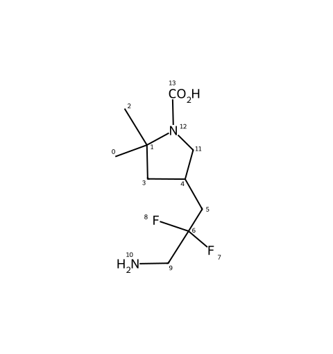 CC1(C)CC(CC(F)(F)CN)CN1C(=O)O